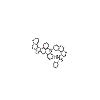 c1ccc(C2Nc3c(ccc4ccc5ccc(N(c6ccccc6)c6ccccc6-c6ccc7c(c6)oc6ccc8ccccc8c67)cc5c34)S2)cc1